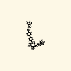 O=C(c1ccc(-c2ccc(SCCOC3CCCO3)cc2)cc1)[C@H]1CC[C@H]1[C@H]1CC=C1SCCOC1CCCO1